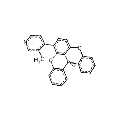 Cc1cnccc1-c1ccc2c3c1Oc1ccccc1P3(=O)c1ccccc1O2